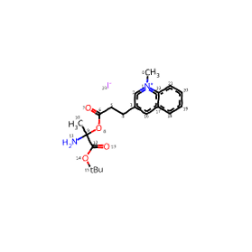 C[n+]1cc(CCC(=O)OC(C)(N)C(=O)OC(C)(C)C)cc2ccccc21.[I-]